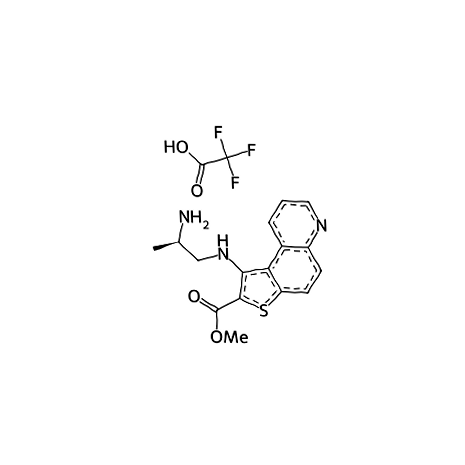 COC(=O)c1sc2ccc3ncccc3c2c1NC[C@@H](C)N.O=C(O)C(F)(F)F